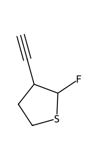 C#CC1CCSC1F